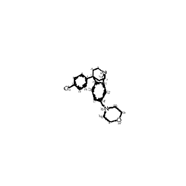 Clc1ccc(C23CCN(CC2)Cc2cc(N4CCOCC4)ccc23)cc1